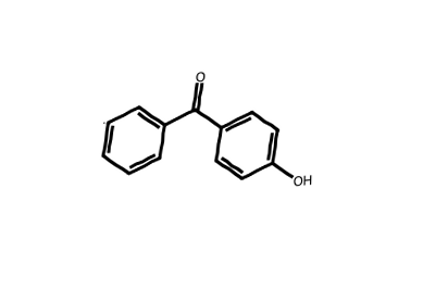 O=C(c1c[c]ccc1)c1ccc(O)cc1